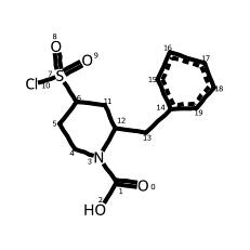 O=C(O)N1CCC(S(=O)(=O)Cl)CC1Cc1ccccc1